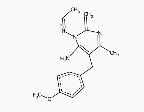 C=C1N=C(C)C(Cc2ccc(OC(F)(F)F)cc2)=C(N)N1/N=C\C